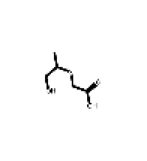 CC(CO)SCC(=O)O